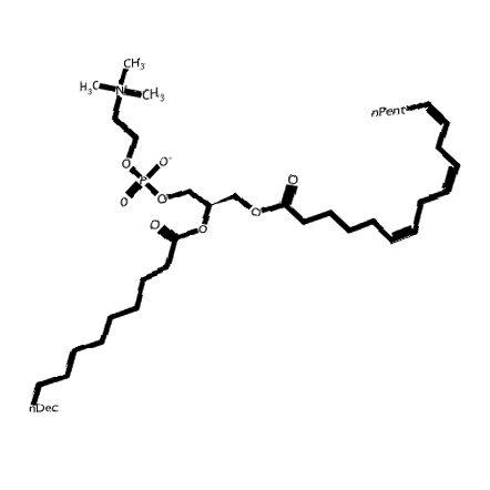 CCCCC/C=C\C/C=C\C/C=C\CCCCC(=O)OC[C@H](COP(=O)([O-])OCC[N+](C)(C)C)OC(=O)CCCCCCCCCCCCCCCCCC